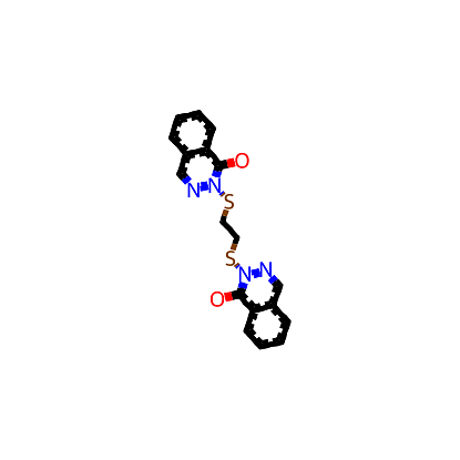 O=c1c2ccccc2cnn1SCCSn1ncc2ccccc2c1=O